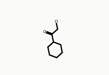 O=C(CCl)C1C[CH]CCC1